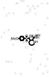 COc1ccc(S(=O)(=O)C(OC(C)=O)C2CCCCNC2C(=O)NO)cc1